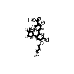 COCCCOc1cc(C2CCC(C)(C)C2)c(-c2cc(=O)c(C(=O)O)c[nH]2)nc1Cl